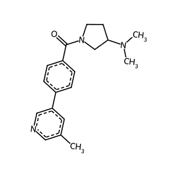 Cc1cncc(-c2ccc(C(=O)N3CCC(N(C)C)C3)cc2)c1